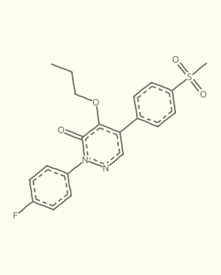 CCCOc1c(-c2ccc(S(C)(=O)=O)cc2)cnn(-c2ccc(F)cc2)c1=O